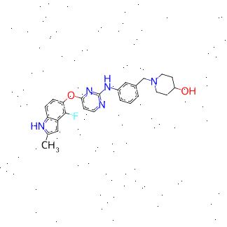 Cc1cc2c(F)c(Oc3ccnc(Nc4cccc(CN5CCC(O)CC5)c4)n3)ccc2[nH]1